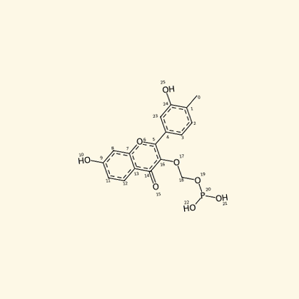 Cc1ccc(-c2oc3cc(O)ccc3c(=O)c2OCOP(O)O)cc1O